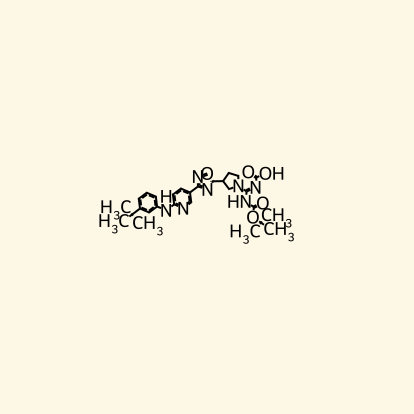 CC(C)(C)OC(=O)NC(=NC(=O)O)N1CCC(c2nc(-c3ccc(Nc4cccc(C(C)(C)C)c4)nc3)no2)C1